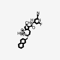 Cn1cc2c(c1C(=O)Nc1cc(F)nc(C#N)c1)C=C[C@H](Cc1ccc3ccccc3c1)NS2(=N)=O